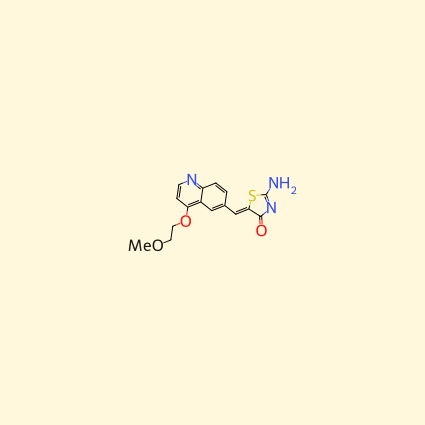 COCCOc1ccnc2ccc(/C=C3\SC(N)=NC3=O)cc12